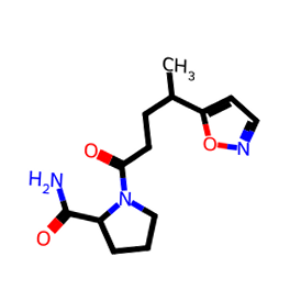 CC(CCC(=O)N1CCCC1C(N)=O)c1ccno1